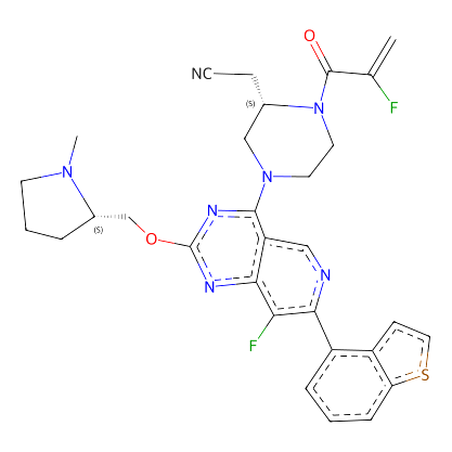 C=C(F)C(=O)N1CCN(c2nc(OC[C@@H]3CCCN3C)nc3c(F)c(-c4cccc5sccc45)ncc23)C[C@@H]1CC#N